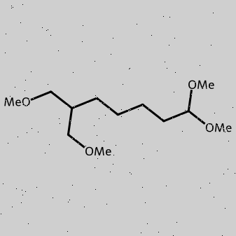 COCC(CCCCC(OC)OC)COC